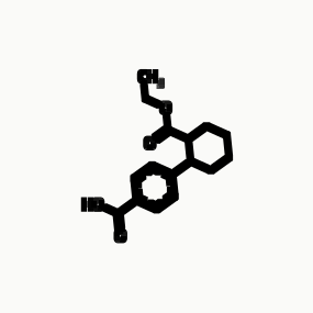 CCOC(=O)C1CCCCC1c1ccc(C(=O)O)cc1